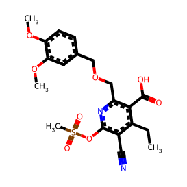 CCc1c(C#N)c(OS(C)(=O)=O)nc(COCc2ccc(OC)c(OC)c2)c1C(=O)O